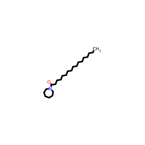 CCCCCCCCCCCCCCCCC(=O)N1CCCCCC1